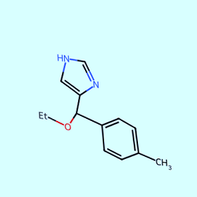 CCOC(c1ccc(C)cc1)c1c[nH]cn1